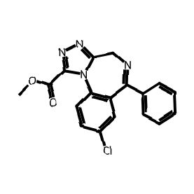 COC(=O)c1nnc2n1-c1ccc(Cl)cc1C(c1ccccc1)=NC2